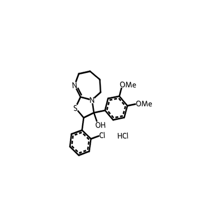 COc1ccc(C2(O)C(c3ccccc3Cl)SC3=NCCCCN32)cc1OC.Cl